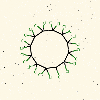 Cl[C]1C(Cl)(Cl)C(Cl)(Cl)C(Cl)(Cl)C(Cl)(Cl)C(Cl)(Cl)C(Cl)(Cl)C(Cl)(Cl)C(Cl)(Cl)C(Cl)(Cl)C(Cl)(Cl)C1(Cl)Cl